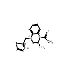 CC(=O)N1c2ccccc2N(Cc2nccs2)C[C@@H]1C